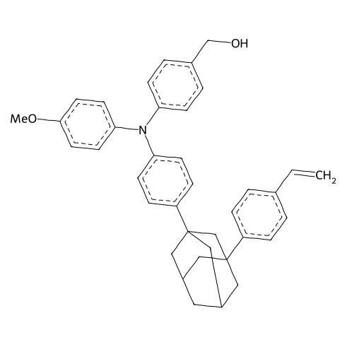 C=Cc1ccc(C23CC4CC(C2)CC(c2ccc(N(c5ccc(CO)cc5)c5ccc(OC)cc5)cc2)(C4)C3)cc1